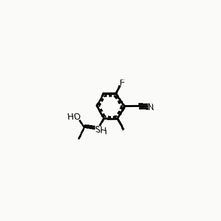 CC(O)=[SH]c1ccc(F)c(C#N)c1C